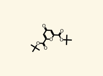 CC(C)(C)OC(=O)c1cc(=O)cc(C(=O)OC(C)(C)C)o1